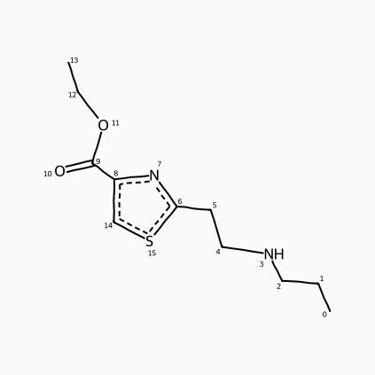 CCCNCCc1nc(C(=O)OCC)cs1